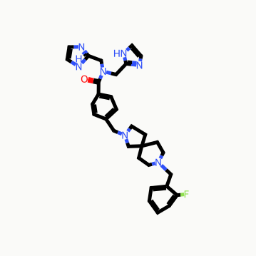 O=C(c1ccc(CN2CCC3(CCN(Cc4ccccc4F)CC3)C2)cc1)N(Cc1ncc[nH]1)Cc1ncc[nH]1